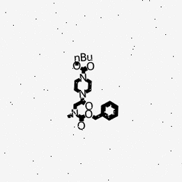 CCCCOC(=O)N1CCN(C(=O)CN(C)C(=O)OCc2ccccc2)CC1